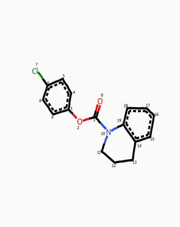 O=C(Oc1ccc(Cl)cc1)N1CCCc2ccccc21